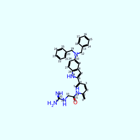 C=C(/C=C\C(=C)c1cc2cc(N(Cc3ccccc3)Cc3ccccc3)ccc2[nH]1)NC(=O)CNC(=N)N